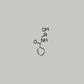 O=C(NC=NO)c1ccccc1